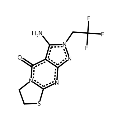 Nc1c2c(=O)n3c(nc2nn1CC(F)(F)F)SCC3